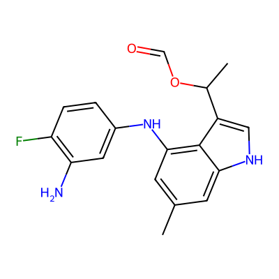 Cc1cc(Nc2ccc(F)c(N)c2)c2c(C(C)OC=O)c[nH]c2c1